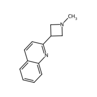 CN1CC(c2ccc3ccccc3n2)C1